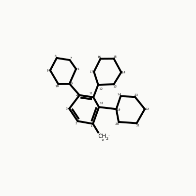 [CH2]c1ccc(C2CCCCC2)c(C2CCCCC2)c1C1CCCCC1